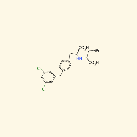 CC(C)C[C@H](N[C@@H](Cc1ccc(Cc2cc(Cl)cc(Cl)c2)cc1)C(=O)O)C(=O)O